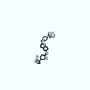 CC(=O)N(C)C1CCN(Cc2ccc3cc(Oc4ccc(-c5ccn[nH]5)cn4)ccc3n2)CC1